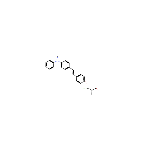 CC(CO)C(F)Oc1ccc(C=Cc2ccc(N(C)c3ccccc3)cc2)cc1